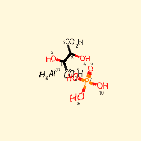 O=C(O)C(O)C(O)C(=O)O.O=P(O)(O)O.[AlH3]